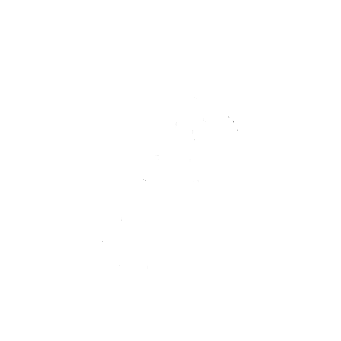 C=C(O)C(=N)C(C)(C)c1ccc(-c2ccccc2)cc1